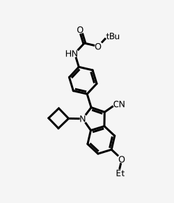 CCOc1ccc2c(c1)c(C#N)c(-c1ccc(NC(=O)OC(C)(C)C)cc1)n2C1CCC1